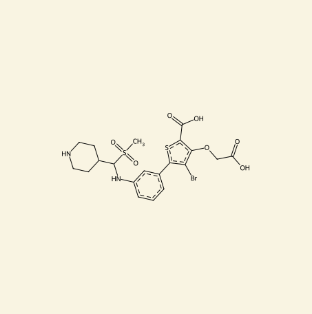 CS(=O)(=O)C(Nc1cccc(-c2sc(C(=O)O)c(OCC(=O)O)c2Br)c1)C1CCNCC1